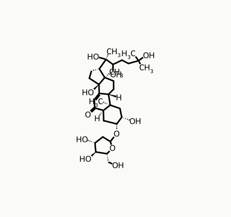 CC(C)(O)CCC(O)[C@](C)(O)[C@H]1CC[C@@]2(O)C3=CC(=O)[C@@H]4C[C@@H](OC5C[C@@H](O)[C@H](O)[C@@H](CO)O5)[C@@H](O)C[C@]4(C)[C@H]3CC[C@]12C